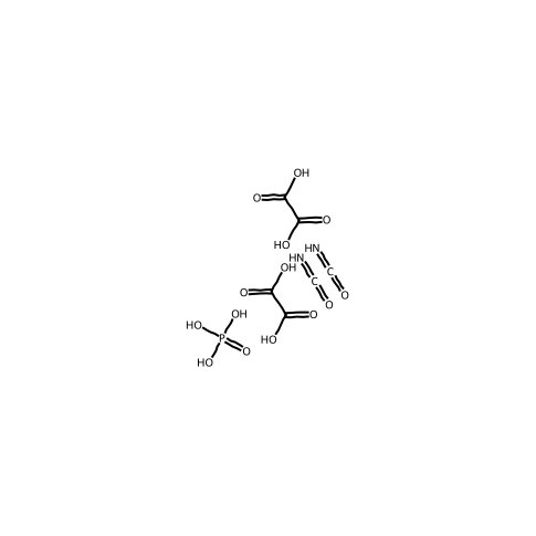 N=C=O.N=C=O.O=C(O)C(=O)O.O=C(O)C(=O)O.O=P(O)(O)O